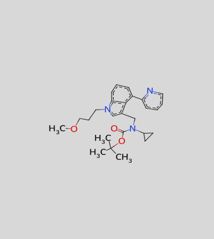 COCCCn1cc(CN(C(=O)OC(C)(C)C)C2CC2)c2c(-c3ccccn3)cccc21